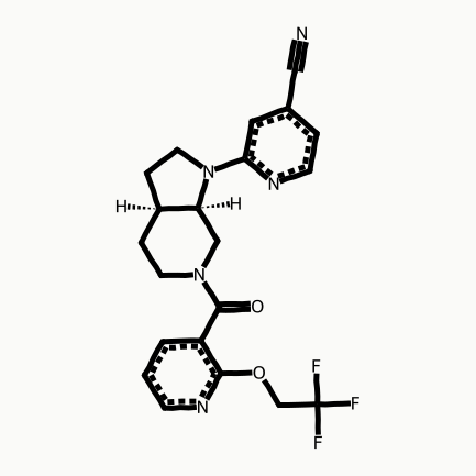 N#Cc1ccnc(N2CC[C@@H]3CCN(C(=O)c4cccnc4OCC(F)(F)F)C[C@@H]32)c1